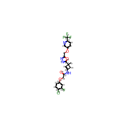 CC1(c2nnc(COc3ccc(C(F)(F)F)nc3)o2)C=C(NC(=O)COc2ccc(Cl)c(F)c2)C1